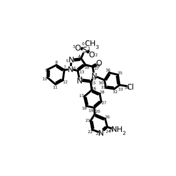 CS(=O)(=O)c1nn(-c2ccccc2)c2nc(-c3ccc(-c4ccnc(N)c4)cc3)n(-c3ccc(Cl)cc3)c(=O)c12